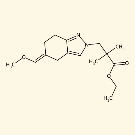 CCOC(=O)C(C)(C)Cn1cc2c(n1)CC/C(=C\OC)C2